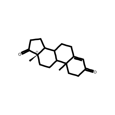 CC12CCC(=O)C=C1CCC1C2CC[C@]2(C)C(=O)CCC12